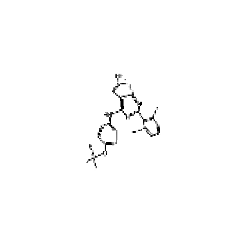 Cc1cccc(C)c1-c1nc(Nc2ccc(OC(F)(F)F)cc2)c2nc(N)sc2n1